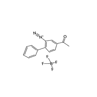 CC(=O)c1ccc(-c2ccccc2)c([N+]#N)c1.F[B-](F)(F)F